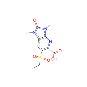 CCS(=O)(=O)c1cc2c(nc1C(=O)O)n(C)c(=O)n2C